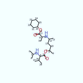 CC(C)NC(C(=O)OC(C)CCC(C)NC(C)C(=O)OC1CCCCC1)C(C)C